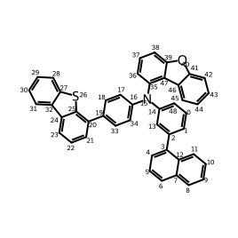 c1cc(-c2cccc3ccccc23)cc(N(c2ccc(-c3cccc4c3sc3ccccc34)cc2)c2cccc3oc4ccccc4c23)c1